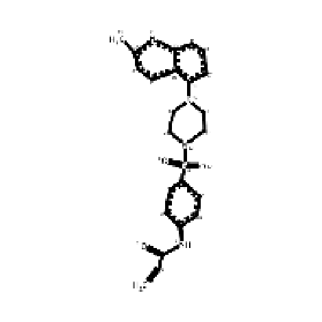 C=CC(=O)Nc1ccc(S(=O)(=O)N2CCN(c3cccc4nc(C)ccc34)CC2)cc1